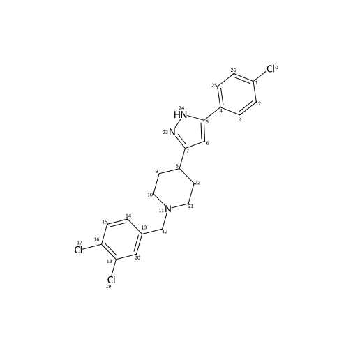 Clc1ccc(-c2cc(C3CCN(Cc4ccc(Cl)c(Cl)c4)CC3)n[nH]2)cc1